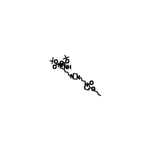 CCCCOc1cccn(CCCN2CCN(CCCC(CNC(=O)OC(C)(C)C)NC(=O)OC(C)(C)C)CC2)c1=O